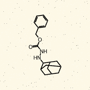 O=C(NNC1C2CC3CC(C2)CC1C3)OCc1ccccc1